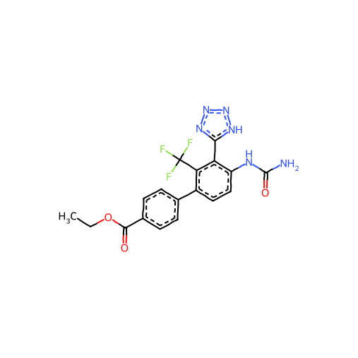 CCOC(=O)c1ccc(-c2ccc(NC(N)=O)c(-c3nnn[nH]3)c2C(F)(F)F)cc1